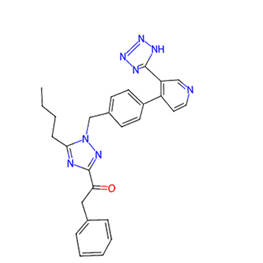 CCCCc1nc(C(=O)Cc2ccccc2)nn1Cc1ccc(-c2ccncc2-c2nnn[nH]2)cc1